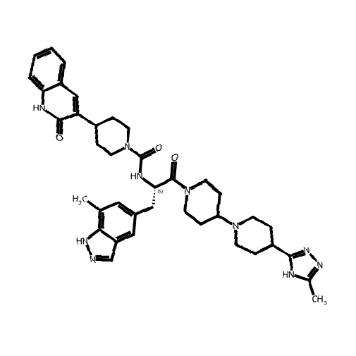 Cc1nnc(C2CCN(C3CCN(C(=O)[C@H](Cc4cc(C)c5[nH]ncc5c4)NC(=O)N4CCC(c5cc6ccccc6[nH]c5=O)CC4)CC3)CC2)[nH]1